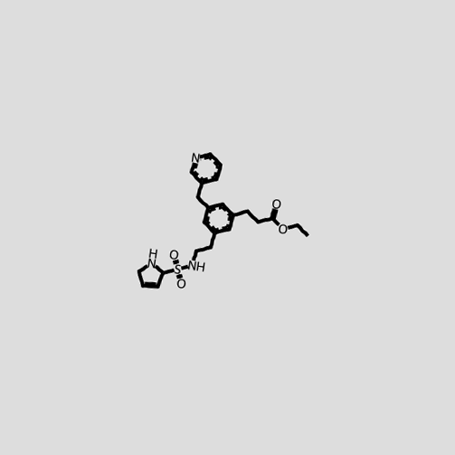 CCOC(=O)CCc1cc(CCNS(=O)(=O)C2C=CCN2)cc(Cc2cccnc2)c1